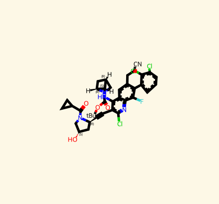 CC(C)(C)OC(=O)N1C[C@H]2C[C@@H]1[C@H]2Nc1c(C#C[C@H]2C[C@H](O)CN2C(=O)C2CC2)c(Cl)nc2c(F)c(-c3cccc(Cl)c3Cl)c(CCC#N)cc12